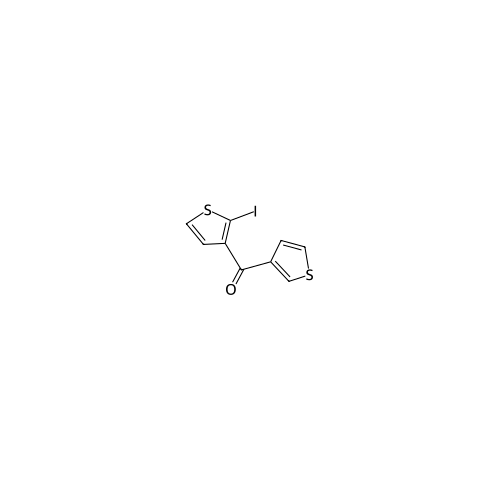 O=C(c1ccsc1)c1ccsc1I